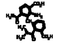 CN(C)C(=O)c1ccccc1C(=O)O.Cc1c(C(N)=O)ccc(C(=O)O)c1N